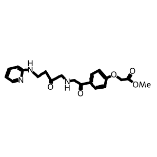 COC(=O)COc1ccc(C(=O)CNCC(=O)CCNc2ccccn2)cc1